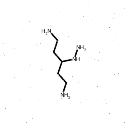 NCCC(CCN)NN